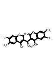 Cc1cc2oc(=O)c(C(C(=O)O)c3c(O)c4cc(C)c(C)cc4oc3=O)c(O)c2cc1C